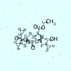 CCOC(=O)c1nn(CC2(CO)CC2)c2c1CCN(CC1(S(=O)(=O)C3CC3)CC1)C2=O